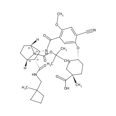 COc1cc(C#N)c(O[C@H]2CC[C@@](C)(C(=O)O)CC2)cc1C(=O)N[C@@H]1[C@H](C(=O)NCC2(C)CCC2)[C@@H]2CC[C@H]1N2C(=O)OC(C)(C)C